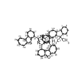 CC1(C)c2ccccc2-c2ccc(C3=NC(c4cccc5c4sc4ccccc45)=NC(c4cccc5oc6cccc(-c7ccccc7)c6c45)N3)cc21